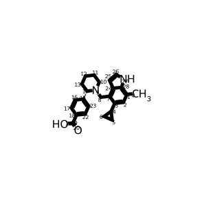 Cc1cc(C2CC2)c(CN2CCCC[C@H]2c2ccc(C(=O)O)cc2)c2cc[nH]c12